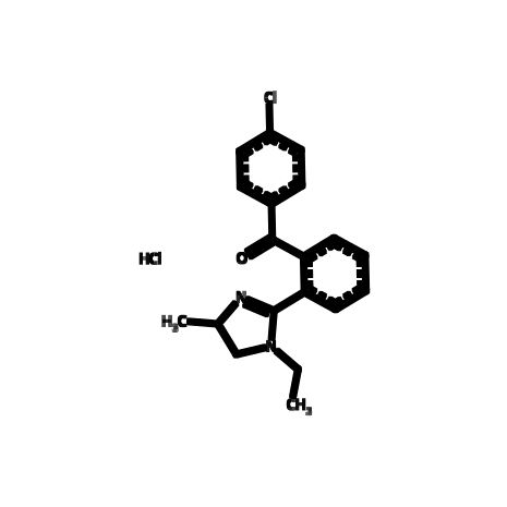 CCN1CC(C)N=C1c1ccccc1C(=O)c1ccc(Cl)cc1.Cl